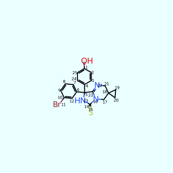 Oc1ccc(C2(c3cccc(Br)c3)NC(=S)N3CC4(CC4)CN=C32)cc1